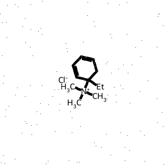 CCC1([N+](C)(C)C)C=CC=CC1.[Cl-]